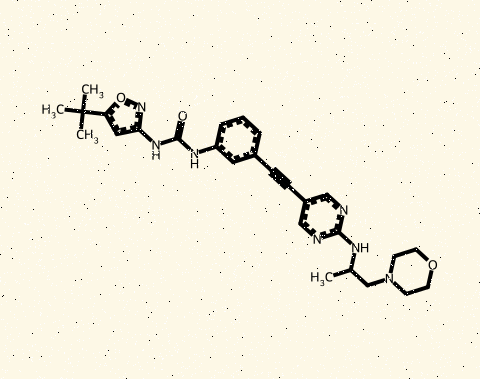 CC(CN1CCOCC1)Nc1ncc(C#Cc2cccc(NC(=O)Nc3cc(C(C)(C)C)on3)c2)cn1